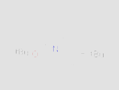 C=C(OC(C)(C)C)N1CCC(C(C)(C)C)CC1